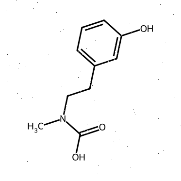 CN(CCc1cccc(O)c1)C(=O)O